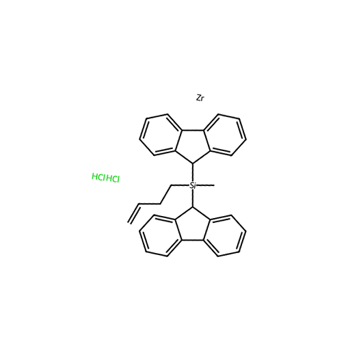 C=CCC[Si](C)(C1c2ccccc2-c2ccccc21)C1c2ccccc2-c2ccccc21.Cl.Cl.[Zr]